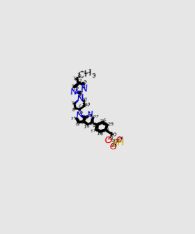 CCc1cnc(N2CCC(n3ccc4cc(-c5ccc(CO[SH](=O)=O)cc5)cnc43)CC2)nc1